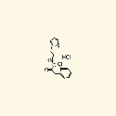 Cl.O=C(Cc1ccccc1Cl)ONCCc1cccs1